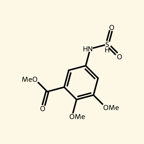 COC(=O)c1cc(N[SH](=O)=O)cc(OC)c1OC